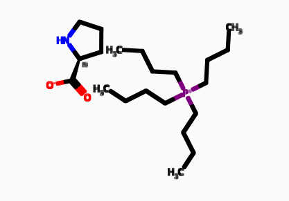 CCCC[P+](CCCC)(CCCC)CCCC.O=C([O-])[C@@H]1CCCN1